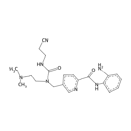 CN(C)CCN(Cc1ccc(C(=O)Nc2ccccc2N)nc1)C(=O)NCCC#N